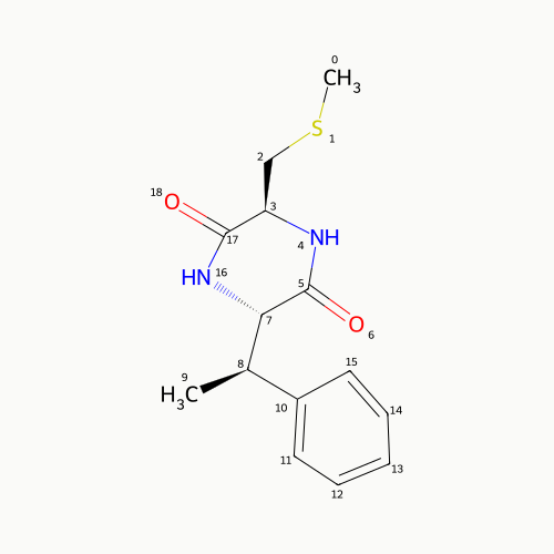 CSC[C@H]1NC(=O)[C@H]([C@H](C)c2ccccc2)NC1=O